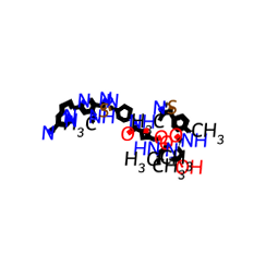 CNc1cc(-c2ccc3cc(C#N)cnn23)ncc1-c1nnc(C2CCC(NC(=O)C34CC(C(=O)N[C@H](C(=O)N5C[C@H](O)C[C@H]5C(=O)N[C@@H](C)c5ccc(-c6scnc6C)cc5)C(C)(C)C)(C3)C4)CC2)s1